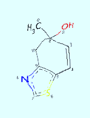 CC1(O)C=Cc2scnc2C1